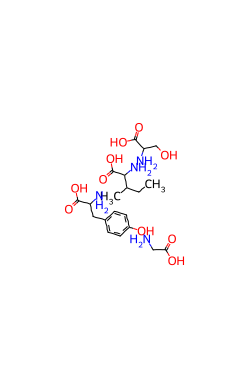 CCC(C)C(N)C(=O)O.NC(CO)C(=O)O.NC(Cc1ccc(O)cc1)C(=O)O.NCC(=O)O